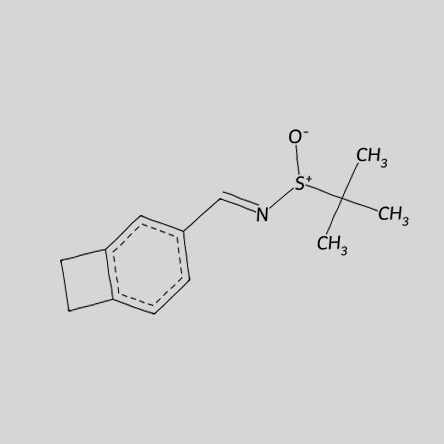 CC(C)(C)[S+]([O-])N=Cc1ccc2c(c1)CC2